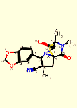 CN1C(=O)[C@]23C[C@](C)(C#N)C(c4ccc5c(c4)OCO5)N2C(=O)C1(C)SS3